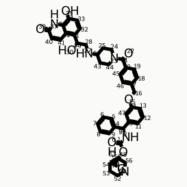 O=C(N[C@@H](c1ccccc1)c1cccc(OCc2ccc(C(=O)N3CCC(NC[C@H](O)c4ccc(O)c5[nH]c(=O)ccc45)CC3)cc2)c1)O[C@H]1CN2CCC1CC2